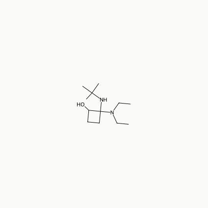 CCN(CC)C1(NC(C)(C)C)CCC1O